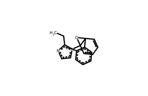 CCc1nccn1C12C=CC=CC1(c1ccccc1Cl)O2